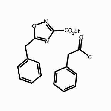 CCOC(=O)c1noc(Cc2ccccc2)n1.O=C(Cl)Cc1ccccc1